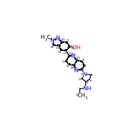 CCNC1CCN(c2ccc3nc(-c4cc5cn(C)nc5cc4O)ccc3n2)C1